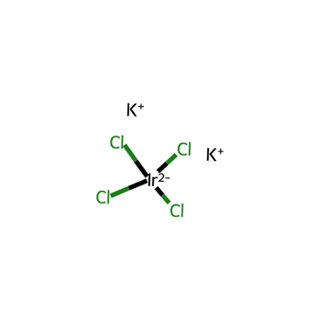 [Cl][Ir-2]([Cl])([Cl])[Cl].[K+].[K+]